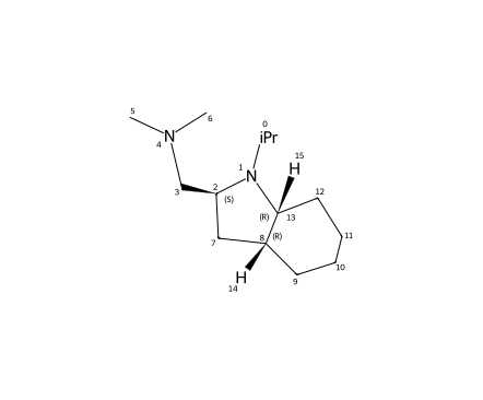 CC(C)N1[C@H](CN(C)C)C[C@H]2CCCC[C@H]21